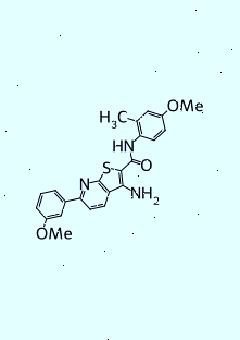 COc1cccc(-c2ccc3c(N)c(C(=O)Nc4ccc(OC)cc4C)sc3n2)c1